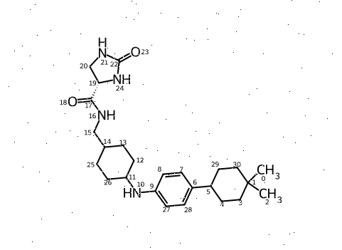 CC1(C)CCC(c2ccc(NC3CCC(CNC(=O)[C@@H]4CNC(=O)N4)CC3)cc2)CC1